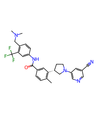 Cc1ccc(C(=O)Nc2ccc(CN(C)C)c(C(F)(F)F)c2)cc1[C@@H]1CCN(c2cncc(C#N)c2)C1